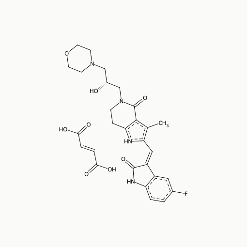 Cc1c(C=C2C(=O)Nc3ccc(F)cc32)[nH]c2c1C(=O)N(C[C@H](O)CN1CCOCC1)CC2.O=C(O)C=CC(=O)O